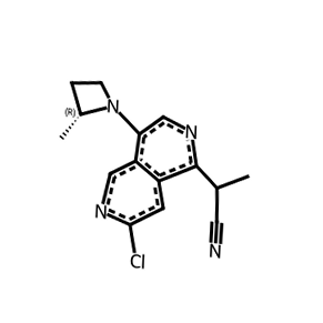 CC(C#N)c1ncc(N2CC[C@H]2C)c2cnc(Cl)cc12